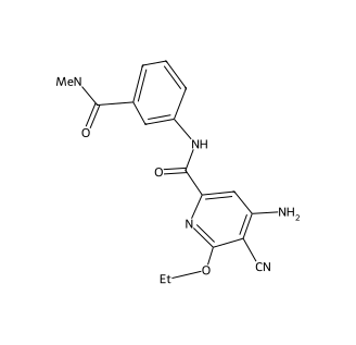 CCOc1nc(C(=O)Nc2cccc(C(=O)NC)c2)cc(N)c1C#N